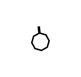 C=C1[CH]CCCCCC1